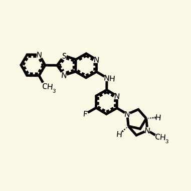 Cc1cccnc1-c1nc2cc(Nc3cc(F)cc(N4C[C@@H]5C[C@H]4CN5C)n3)ncc2s1